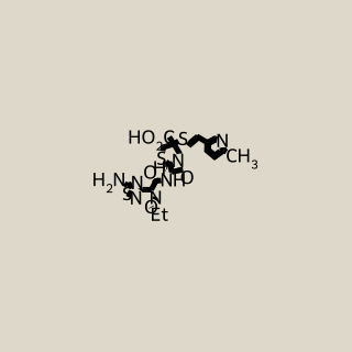 CCON=C(C(=O)NC1C(=O)N2CC(SC=Cc3ccc(C)nc3)(C(=O)O)CS[C@H]12)c1nsc(N)n1